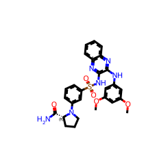 COc1cc(Nc2nc3ccccc3nc2NS(=O)(=O)c2cccc(N3CCC[C@@H]3C(N)=O)c2)cc(OC)c1